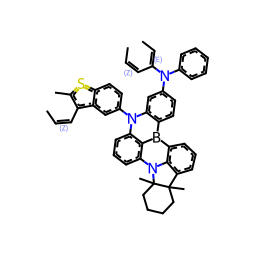 C/C=C\C(=C/C)N(c1ccccc1)c1ccc2c(c1)N(c1ccc3sc(C)c(/C=C\C)c3c1)c1cccc3c1B2c1cccc2c1N3C1(C)CCCCC21C